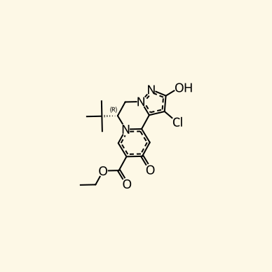 CCOC(=O)c1cn2c(cc1=O)-c1c(Cl)c(O)nn1C[C@H]2C(C)(C)C